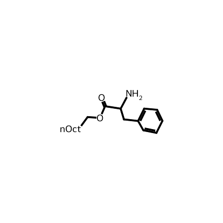 CCCCCCCCCOC(=O)C(N)Cc1ccccc1